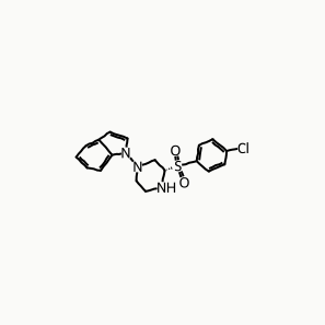 O=S(=O)(c1ccc(Cl)cc1)[C@H]1CN(n2ccc3ccccc32)CCN1